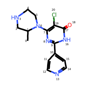 CC1CNCCN1c1nc(-c2ccncc2)[nH]c(=O)c1Cl